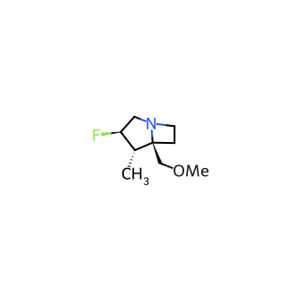 COC[C@]12CCN1C[C@H](F)[C@H]2C